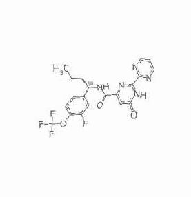 CCC[C@@H](NC(=O)c1cc(=O)[nH]c(-c2ncccn2)n1)c1ccc(OC(F)(F)F)c(F)c1